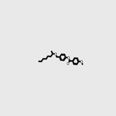 CCCCCCC(C)OCc1ccc(OC(=O)c2ccc(OC)cc2)cc1